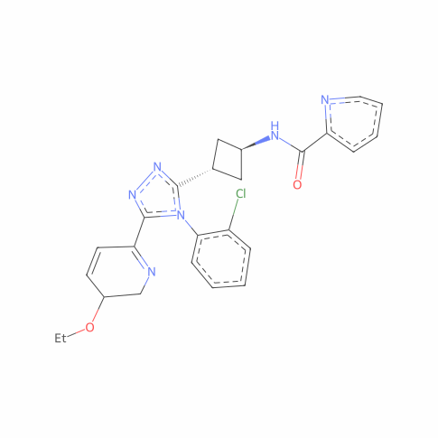 CCOC1C=CC(c2nnc([C@H]3C[C@H](NC(=O)c4ccccn4)C3)n2-c2ccccc2Cl)=NC1